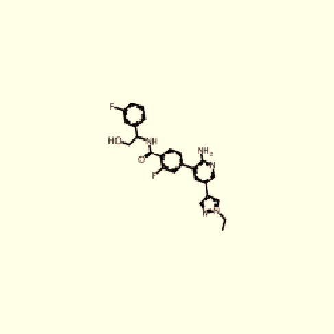 CCn1cc(-c2cnc(N)c(-c3ccc(C(=O)NC(CO)c4cccc(F)c4)c(F)c3)c2)cn1